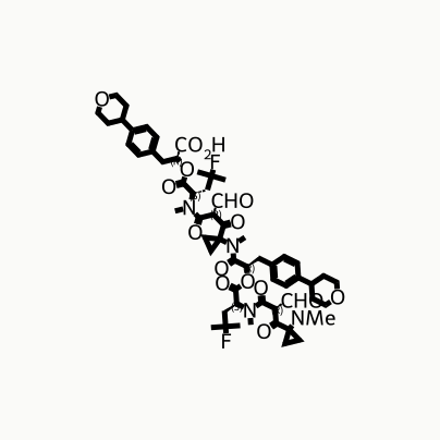 CNC1(C(=O)[C@@H](C=O)C(=O)N(C)[C@@H](CC(C)(C)F)C(=O)O[C@H](Cc2ccc(C3CCOCC3)cc2)C(=O)N(C)C2(C(=O)[C@@H](C=O)C(=O)N(C)[C@@H](CC(C)(C)F)C(=O)O[C@H](Cc3ccc(C4CCOCC4)cc3)C(=O)O)CC2)CC1